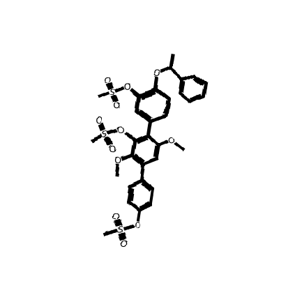 COc1cc(-c2ccc(OS(C)(=O)=O)cc2)c(OC)c(OS(C)(=O)=O)c1-c1ccc(OC(C)c2ccccc2)c(OS(C)(=O)=O)c1